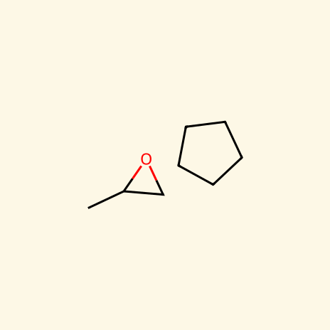 C1CCCC1.CC1CO1